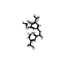 Cc1nc2cc(CC(C)c3cc(C(C)C)ccn3)cc(C(C)C)c2s1